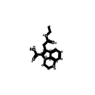 CCOC(=O)Cc1c(C(=O)O)n2c3c(cccc13)OCC2